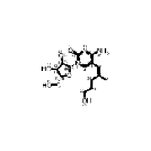 CC(=Cc1cn([C@@H]2O[C@H](CO)[C@@H](O)[C@H]2O)c(=O)nc1N)CCCO